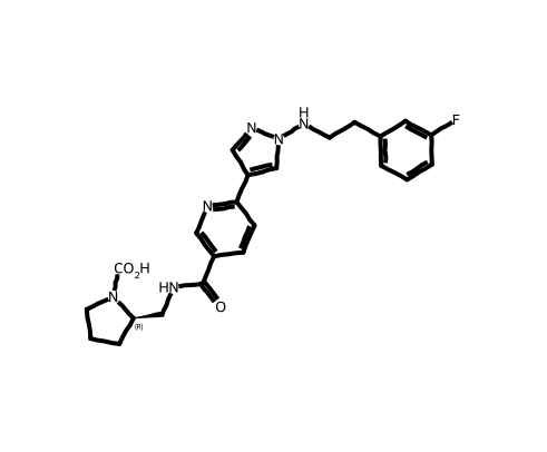 O=C(NC[C@H]1CCCN1C(=O)O)c1ccc(-c2cnn(NCCc3cccc(F)c3)c2)nc1